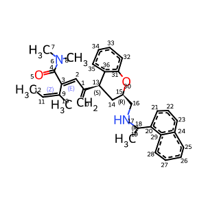 C=C(/C=C(C(=O)N(C)C)\C(C)=C/C)[C@@H]1C[C@H](CN[C@H](C)c2cccc3ccccc23)Oc2ccccc21